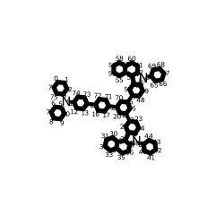 c1ccc(N(c2ccccc2)c2ccc(-c3ccc(-c4cc(-c5ccc6c(c5)c5c7ccccc7ccc5n6-c5ccccc5)cc(-c5ccc6c(c5)c5c7ccccc7ccc5n6-c5ccccc5)c4)cc3)cc2)cc1